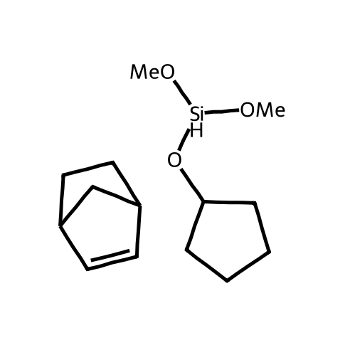 C1=CC2CCC1C2.CO[SiH](OC)OC1CCCC1